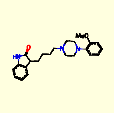 COc1ccccc1N1CCN(CCCCC2C(=O)Nc3ccccc32)CC1